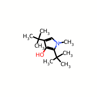 Cn1cc(C(C)(C)C)c(O)c1C(C)(C)C